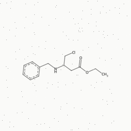 CCOC(=O)CC(CCl)NCc1ccccc1